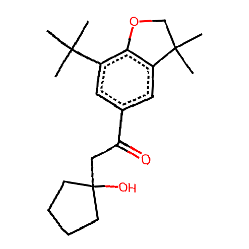 CC(C)(C)c1cc(C(=O)CC2(O)CCCC2)cc2c1OCC2(C)C